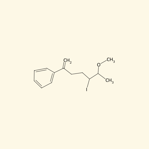 C=C(CCC(I)C(C)OC)c1ccccc1